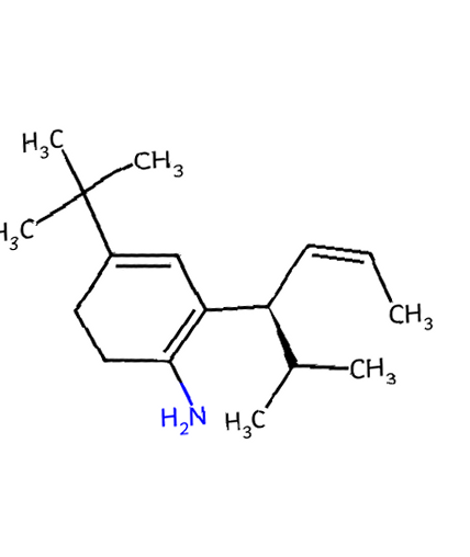 C/C=C\[C@H](C1=C(N)CCC(C(C)(C)C)=C1)C(C)C